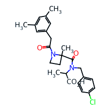 Cc1cc(C)cc(CC(=O)N2CCC2(C)C(=O)N(Cc2ccc(Cl)cc2)C(C)C(=O)O)c1